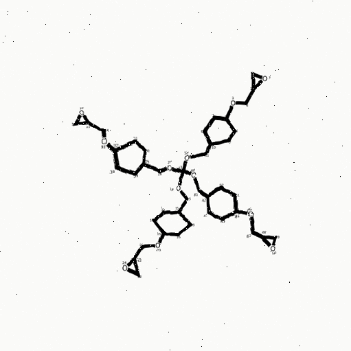 C1CC(OCC2CO2)CCC1COC(OCC1CCC(OCC2CO2)CC1)(OCC1CCC(OCC2CO2)CC1)OCC1CCC(OCC2CO2)CC1